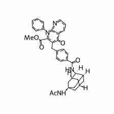 COC(=O)c1c(Cc2ccc(C(=O)N[C@@H]3[C@@H]4C[C@@H]5C[C@H]3C[C@](NC(C)=O)(C5)C4)cc2)c(=O)c2cccnc2n1-c1ccccc1